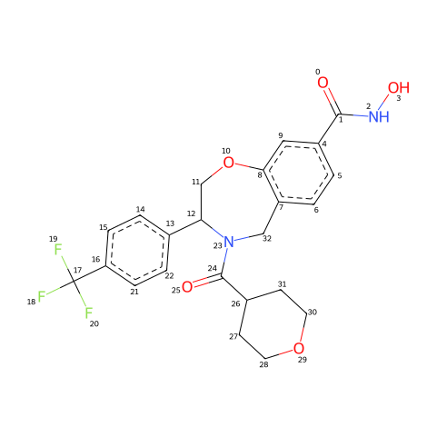 O=C(NO)c1ccc2c(c1)OCC(c1ccc(C(F)(F)F)cc1)N(C(=O)C1CCOCC1)C2